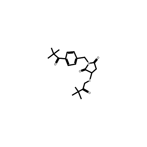 CC(C)(C)C(=O)CSC1CC(=O)N(Cc2ccc(C(=O)C(C)(C)C)cc2)C1=O